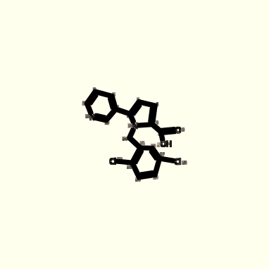 O=C(O)c1ccc(-c2cccnc2)n1Cc1cc(Cl)ccc1Cl